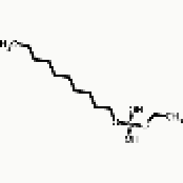 CCCCCCCCCCO[Si](O)(O)OCC